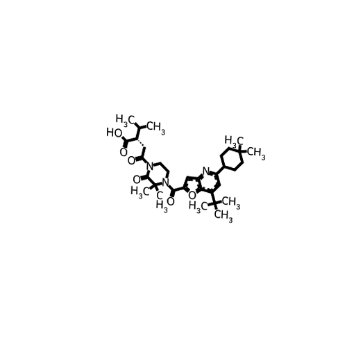 CC(C)[C@H](CC(=O)N1CCN(C(=O)c2cc3nc(C4CCC(C)(C)CC4)cc(C(C)(C)C)c3o2)C(C)(C)C1=O)C(=O)O